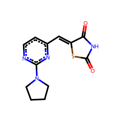 O=C1NC(=O)C(=Cc2ccnc(N3CCCC3)n2)S1